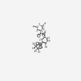 C=C/C=C(\C=C(C)C)C(=O)N(C)c1ccc(C)c(B2OC(C)(C)C(C)(C)O2)c1